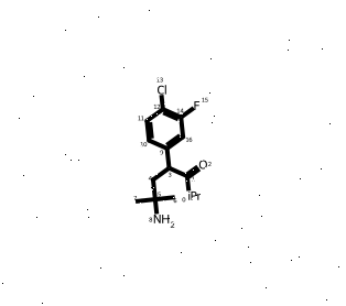 CC(C)C(=O)C(CC(C)(C)N)c1ccc(Cl)c(F)c1